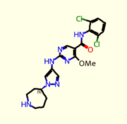 COc1nc(Nc2cnn([C@H]3CCCNCC3)c2)ncc1C(=O)Nc1c(Cl)cccc1Cl